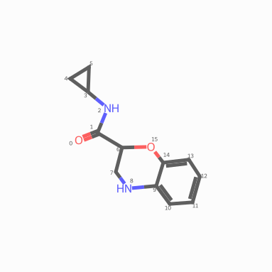 O=C(NC1CC1)C1CNc2ccccc2O1